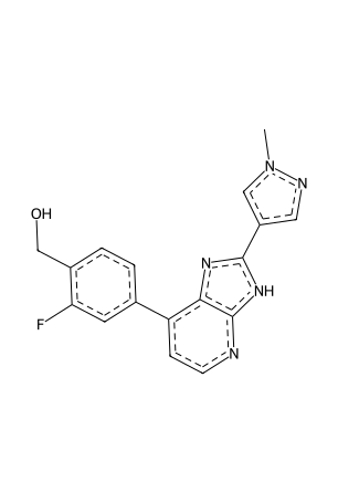 Cn1cc(-c2nc3c(-c4ccc(CO)c(F)c4)ccnc3[nH]2)cn1